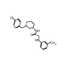 Cc1cccc(NCC(=O)NC2CCCN(Cc3ccc(Cl)cc3)C2)c1